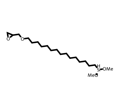 CO[SiH](CCCCCCCCCCCCCCCOCC1CO1)OC